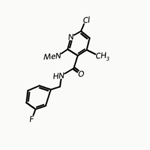 CNc1nc(Cl)cc(C)c1C(=O)NCc1cccc(F)c1